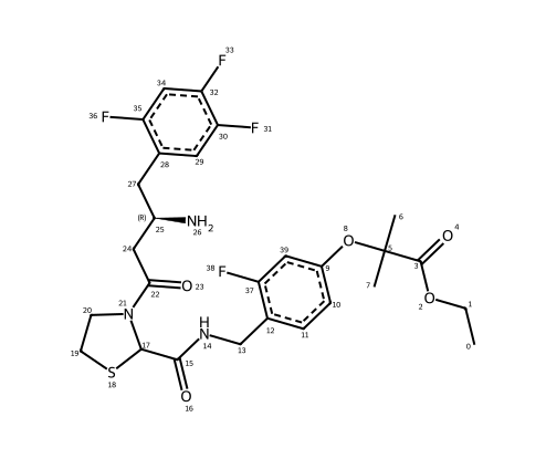 CCOC(=O)C(C)(C)Oc1ccc(CNC(=O)C2SCCN2C(=O)C[C@H](N)Cc2cc(F)c(F)cc2F)c(F)c1